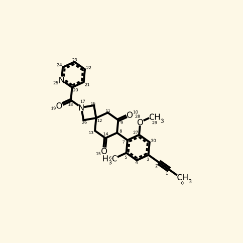 CC#Cc1cc(C)c(C2C(=O)CC3(CC2=O)CN(C(=O)c2ccccn2)C3)c(OC)c1